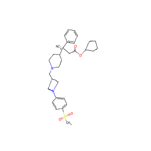 CS(=O)(=O)c1ccc(N2CC(CN3CCC([C@](C#N)(CC(=O)OC4CCCC4)c4ccccc4)CC3)C2)cc1